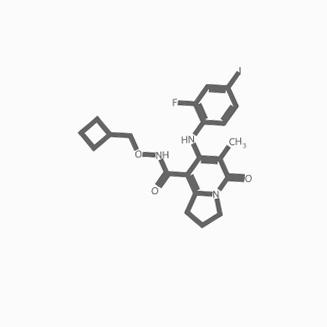 Cc1c(Nc2ccc(I)cc2F)c(C(=O)NOCC2CCC2)c2n(c1=O)CCC2